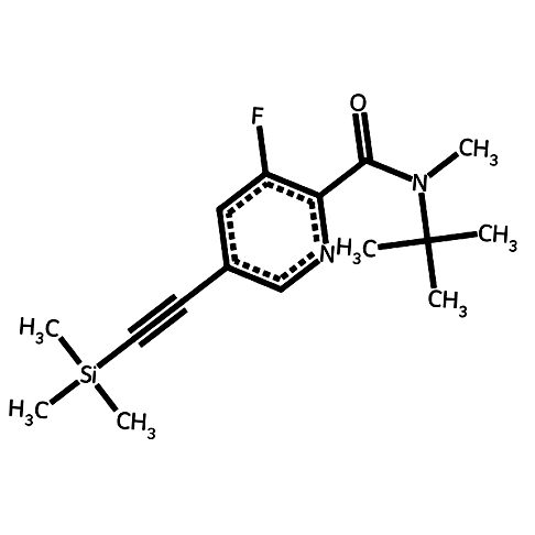 CN(C(=O)c1ncc(C#C[Si](C)(C)C)cc1F)C(C)(C)C